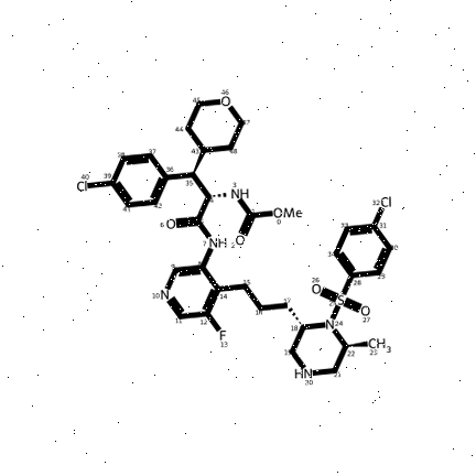 COC(=O)N[C@H](C(=O)Nc1cncc(F)c1CCC[C@H]1CNC[C@H](C)N1S(=O)(=O)c1ccc(Cl)cc1)[C@@H](c1ccc(Cl)cc1)C1CCOCC1